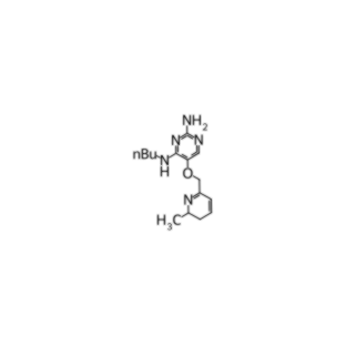 CCCCNc1nc(N)ncc1OCC1=NC(C)CC=C1